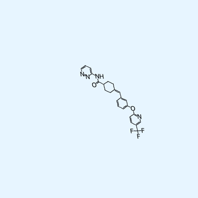 O=C(Nc1cccnn1)C1CCC(=Cc2cccc(Oc3ccc(C(F)(F)F)cn3)c2)CC1